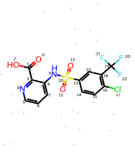 O=C(O)c1ncccc1NS(=O)(=O)c1ccc(Cl)c(C(F)(F)F)c1